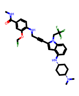 CNC(=O)c1ccc(NCC#Cc2cc3c(N[C@H]4CC[C@@H](N(C)C)CC4)cccc3n2CC(F)(F)F)c(OCF)c1